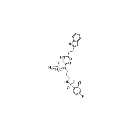 CC(C)C[C@H](NC(=O)CCc1cc2ccccc2[nH]1)C(=O)NCCCNS(=O)(=O)c1ccc(F)cc1Cl